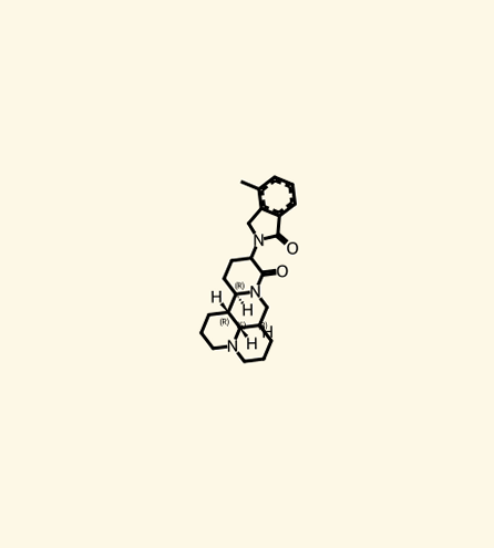 Cc1cccc2c1CN(C1CC[C@@H]3[C@H]4CCCN5CCC[C@H](CN3C1=O)[C@@H]45)C2=O